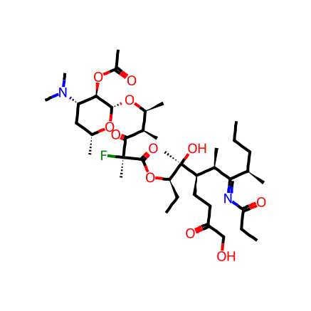 CCC[C@@H](C)/C(=N\C(=O)CC)[C@H](C)[C@@H](CCC(=O)CO)[C@](C)(O)[C@@H](CC)OC(=O)[C@@](C)(F)C(=O)[C@H](C)[C@H](C)O[C@@H]1O[C@H](C)C[C@H](N(C)C)[C@H]1OC(C)=O